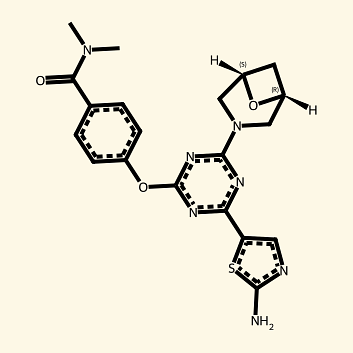 CN(C)C(=O)c1ccc(Oc2nc(-c3cnc(N)s3)nc(N3C[C@H]4C[C@@H](C3)O4)n2)cc1